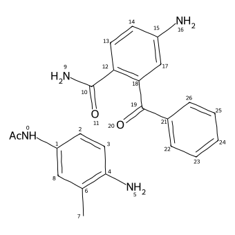 CC(=O)Nc1ccc(N)c(C)c1.NC(=O)c1ccc(N)cc1C(=O)c1ccccc1